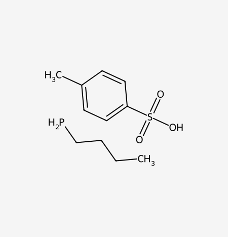 CCCCP.Cc1ccc(S(=O)(=O)O)cc1